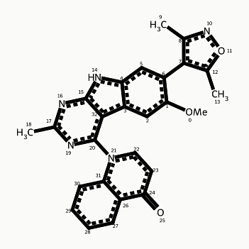 COc1cc2c(cc1-c1c(C)noc1C)[nH]c1nc(C)nc(-n3ccc(=O)c4ccccc43)c12